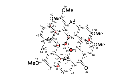 COc1ccc(C(C)=O)c(OP(Oc2cc(OC)ccc2C(C)=O)Oc2ccccc2C(=O)c2ccc(OC)cc2OP(Oc2cc(OC)ccc2C(C)=O)Oc2cc(OC)ccc2C(C)=O)c1